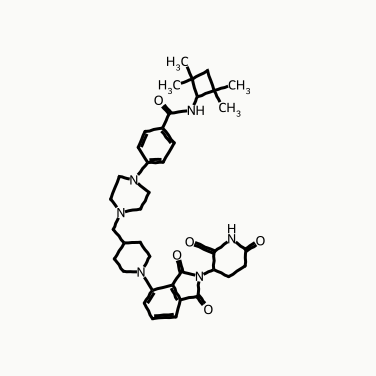 CC1(C)CC(C)(C)C1NC(=O)c1ccc(N2CCN(CC3CCN(c4cccc5c4C(=O)N(C4CCC(=O)NC4=O)C5=O)CC3)CC2)cc1